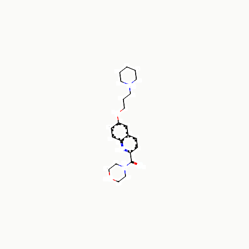 O=C(c1ccc2cc(OCCCN3CCCCC3)ccc2n1)N1CCOCC1